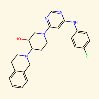 OC1CN(c2cc(Nc3ccc(Cl)cc3)ncn2)CCC1N1CCc2ccccc2C1